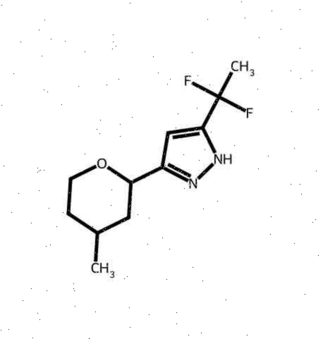 CC1CCOC(c2cc(C(C)(F)F)[nH]n2)C1